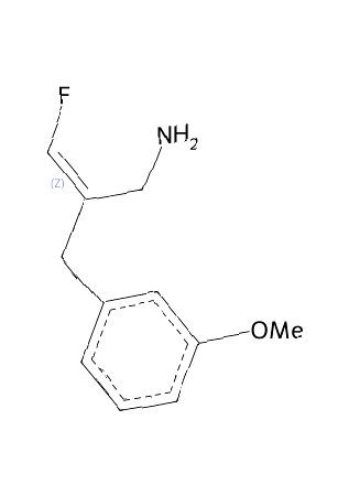 COc1cccc(C/C(=C/F)CN)c1